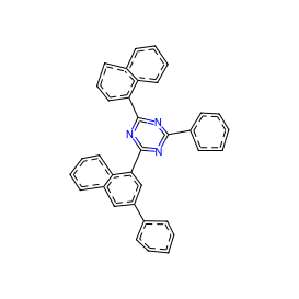 c1ccc(-c2cc(-c3nc(-c4ccccc4)nc(-c4cccc5ccccc45)n3)c3ccccc3c2)cc1